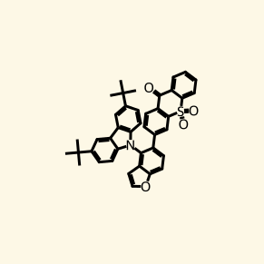 CC(C)(C)c1ccc2c(c1)c1cc(C(C)(C)C)ccc1n2-c1c(-c2ccc3c(c2)S(=O)(=O)c2ccccc2C3=O)ccc2occc12